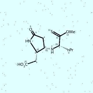 CCC[C@H](N[C@H]1CC(=O)N[C@H]1CC(=O)O)C(=S)OC